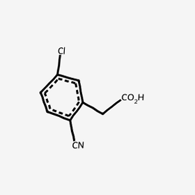 N#Cc1ccc(Cl)cc1CC(=O)O